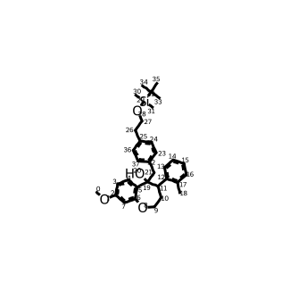 COc1ccc2c(c1)OCCC(c1ccccc1C)C2(O)Cc1ccc(CCO[Si](C)(C)C(C)(C)C)cc1